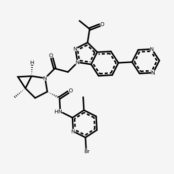 CC(=O)c1nn(CC(=O)N2[C@H](C(=O)Nc3nc(Br)ccc3C)C[C@@]3(C)C[C@@H]23)c2ccc(-c3cncnc3)cc12